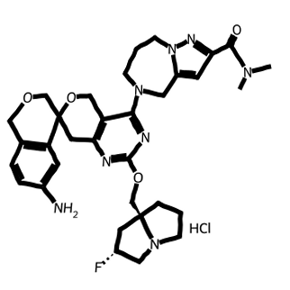 CN(C)C(=O)c1cc2n(n1)CCCN(c1nc(OC[C@@]34CCCN3C[C@H](F)C4)nc3c1COC1(COCc4ccc(N)cc41)C3)C2.Cl